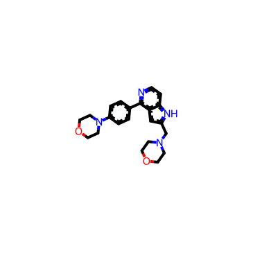 c1cc2[nH]c(CN3CCOCC3)cc2c(-c2ccc(N3CCOCC3)cc2)n1